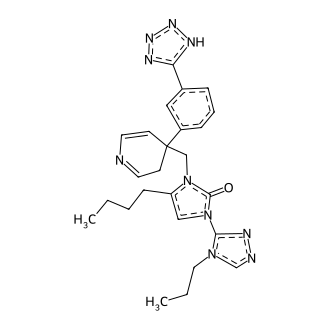 CCCCc1cn(-c2nncn2CCC)c(=O)n1CC1(c2cccc(-c3nnn[nH]3)c2)C=CN=CC1